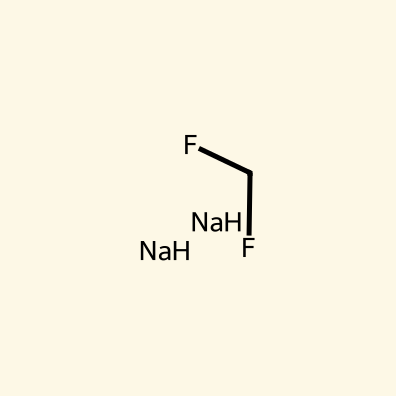 FCF.[NaH].[NaH]